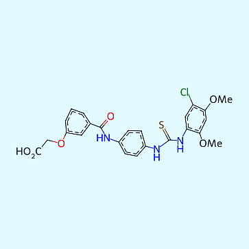 COc1cc(OC)c(NC(=S)Nc2ccc(NC(=O)c3cccc(OCC(=O)O)c3)cc2)cc1Cl